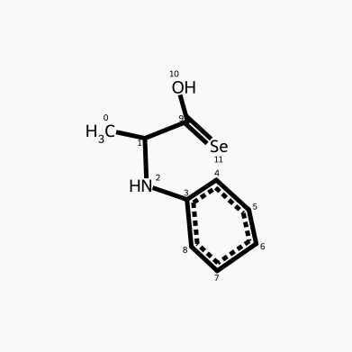 CC(Nc1ccccc1)C(O)=[Se]